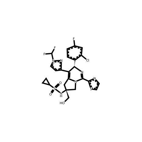 O=S(=O)(N[C@]1(CO)CC2=C(c3ccn(C(F)F)n3)[C@H](c3ccc(F)cc3Cl)N=C(c3nccs3)N2C1)C1CC1